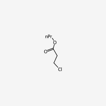 CCCOC(=O)CCCl